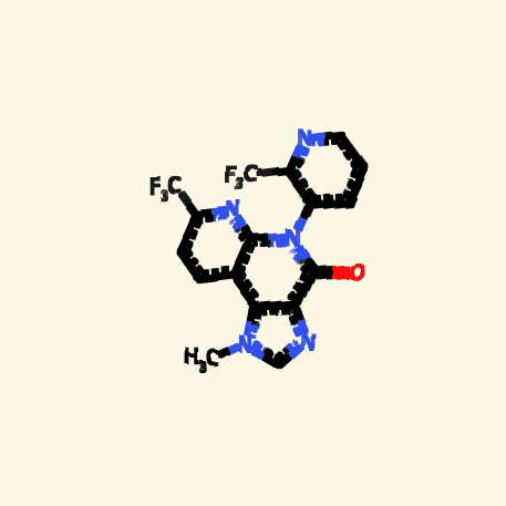 Cn1cnc2c(=O)n(-c3cccnc3C(F)(F)F)c3nc(C(F)(F)F)ccc3c21